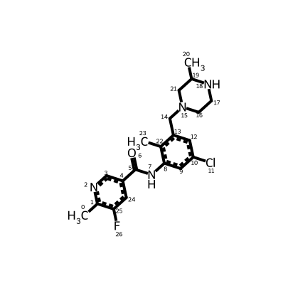 Cc1ncc(C(=O)Nc2cc(Cl)cc(CN3CCNC(C)C3)c2C)cc1F